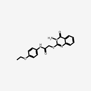 CCOc1ccc(NC(=O)CSc2nc3ccccc3c(=O)n2N)cc1